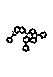 c1ccc(-c2ccc(N(c3ccc4ccc5oc(-c6ccccc6)nc5c4c3)c3cccc4c3c3ccccc3n4-c3ccccc3)cc2)cc1